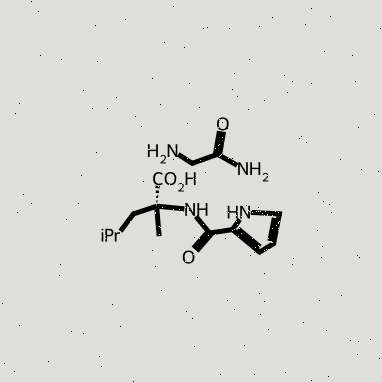 CC(C)C[C@](C)(NC(=O)c1ccc[nH]1)C(=O)O.NCC(N)=O